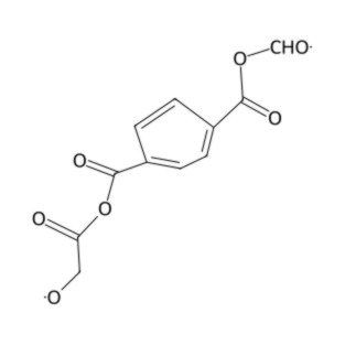 [O]CC(=O)OC(=O)c1ccc(C(=O)O[C]=O)cc1